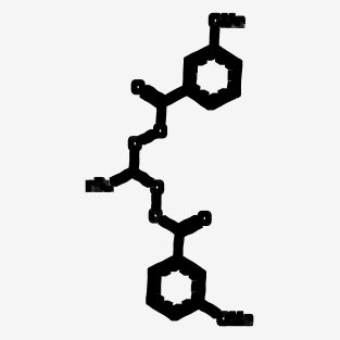 [CH2]CCC[C](OOC(=O)c1cccc(OC)c1)OOC(=O)c1cccc(OC)c1